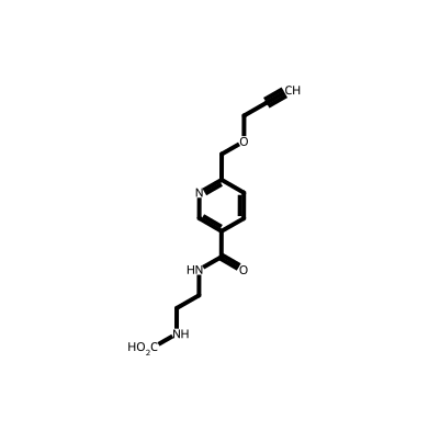 C#CCOCc1ccc(C(=O)NCCNC(=O)O)cn1